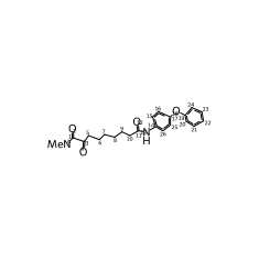 CNC(=O)C(=O)CCCCCCC(=O)Nc1ccc(Oc2ccccc2)cc1